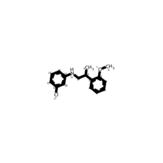 COc1ccccc1C(C)CNc1cccc(Cl)c1